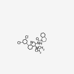 CN(C)c1c(NC(=O)[C@H]2CCCc3ccccc32)cnc2c(-c3cc(Cl)cc(Cl)c3)cccc12